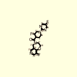 O=C(C1CCN(c2ncc(F)cn2)C[C@@H]1F)N1CCOc2c(F)cncc2C1